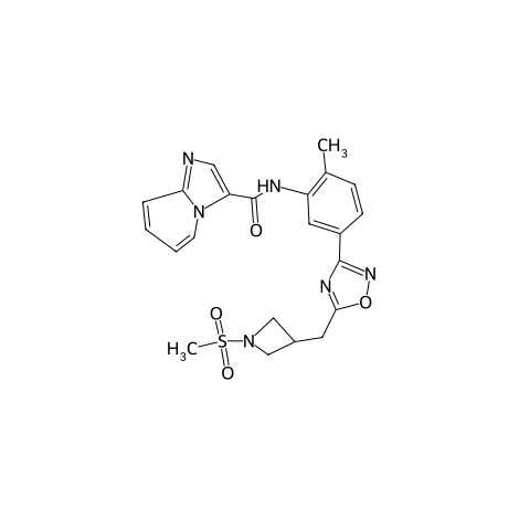 Cc1ccc(-c2noc(CC3CN(S(C)(=O)=O)C3)n2)cc1NC(=O)c1cnc2ccccn12